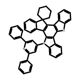 c1ccc(-c2cc(-n3c4ccccc4c4c5oc6ccccc6c5c5c(c43)-c3ccccc3C53CCCCC3)cc(-c3ccccc3)n2)cc1